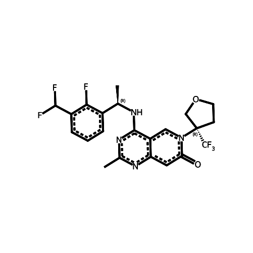 Cc1nc(N[C@H](C)c2cccc(C(F)F)c2F)c2cn([C@]3(C(F)(F)F)CCOC3)c(=O)cc2n1